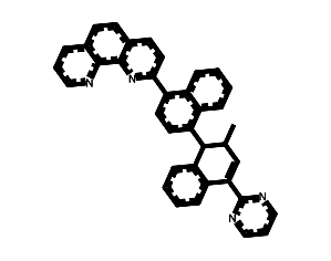 CC1C=C(c2ncccn2)c2ccccc2C1c1ccc(-c2ccc3ccc4cccnc4c3n2)c2ccccc12